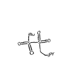 CCC(C)S(=O)(=O)S(=O)(=O)CC(C)C